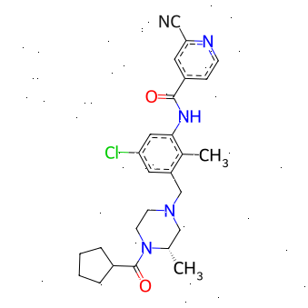 Cc1c(CN2CCN(C(=O)C3CCCC3)[C@@H](C)C2)cc(Cl)cc1NC(=O)c1ccnc(C#N)c1